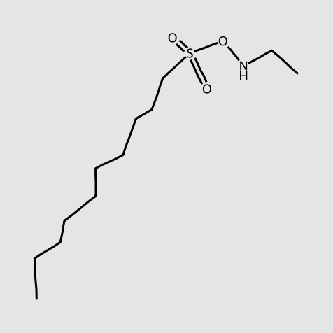 CCCCCCCCCCS(=O)(=O)ONCC